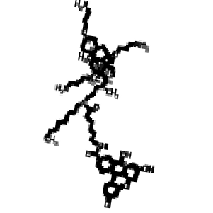 CCCCCCCCN(CCC[C@@H](C)[C@H]1CC[C@H]2C3[C@H](OCCCN)CC4C[C@H](OCCCN)CC[C@]4(C)[C@@]3(N)C[C@H](OCCCN)C12C)C(=O)CCCCCNC(=O)c1ccc(-c2c3ccc(=O)cc-3oc3cc(O)ccc23)c(C(=O)O)c1